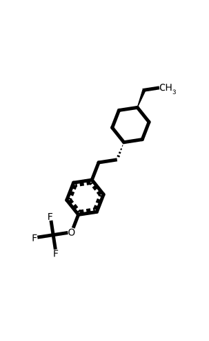 CC[C@H]1CC[C@H](CCc2ccc(OC(F)(F)F)cc2)CC1